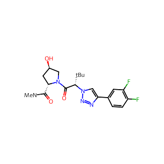 CNC(=O)[C@@H]1C[C@@H](O)CN1C(=O)[C@@H](n1cc(-c2ccc(F)c(F)c2)nn1)C(C)(C)C